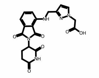 O=C(O)Cn1ccc(CNc2cccc3c2C(=O)N(C2CCC(=O)NC2=O)C3=O)n1